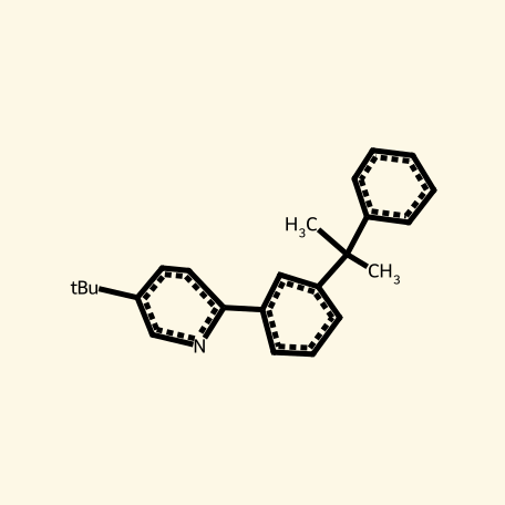 CC(C)(C)c1ccc(-c2cccc(C(C)(C)c3ccccc3)c2)nc1